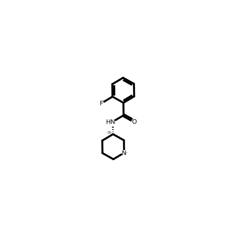 O=C(N[C@H]1CCC[N]C1)c1ccccc1F